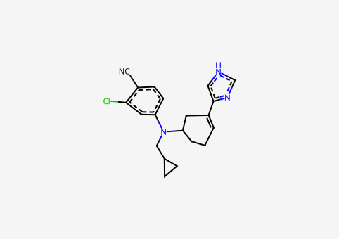 N#Cc1ccc(N(CC2CC2)C2CCC=C(c3c[nH]cn3)C2)cc1Cl